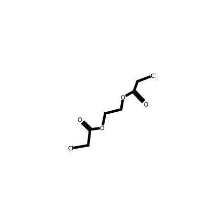 O=C(CCl)OCCOC(=O)CCl